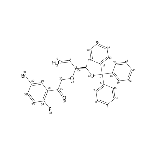 C=C[C@@H](COC(c1ccccc1)(c1ccccc1)c1ccccc1)OCC(=O)c1cc(Br)ccc1F